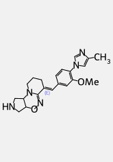 COc1cc(/C=C2\CCCN3C2=NOC2CNCC23)ccc1-n1cnc(C)c1